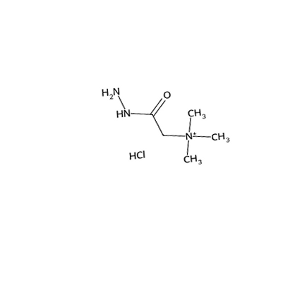 C[N+](C)(C)CC(=O)NN.Cl